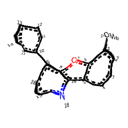 COc1cccc2c1oc1c(-c3ccccc3)ccnc12